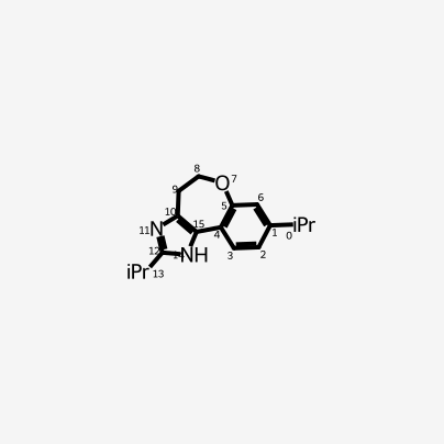 CC(C)c1ccc2c(c1)OCCc1nc(C(C)C)[nH]c1-2